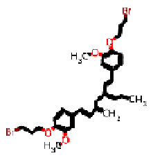 C=C(/C=C/c1ccc(OCCCBr)c(OC)c1)CC(=CCC)/C=C/c1ccc(OCCCBr)c(OC)c1